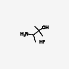 CC(N)C(C)(C)O.F